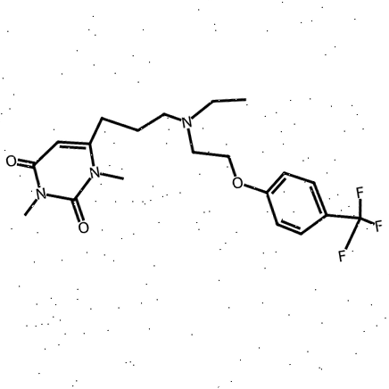 CCN(CCCc1cc(=O)n(C)c(=O)n1C)CCOc1ccc(C(F)(F)F)cc1